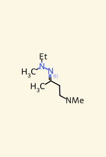 CCN(C)/N=C(\C)CCNC